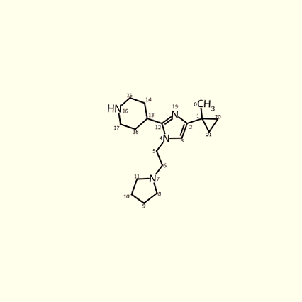 CC1(c2cn(CCN3CCCC3)c(C3CCNCC3)n2)CC1